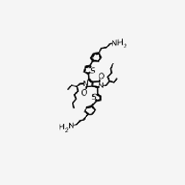 CCCCCC(CC)CN1C(=O)C2=C(c3ccc(C4=CC=C(CCCN)CC4)s3)N(CC(CC)CCCC)C(=O)C2=C1c1ccc(-c2ccc(CCCN)cc2)s1